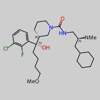 CN[C@H](CNC(=O)N1CCC[C@@H]([C@@](O)(CCCCOC)c2cccc(Cl)c2F)C1)CC1CCCCC1